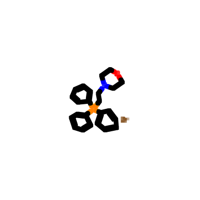 [Br-].c1ccc([P+](CCN2CCOCC2)(c2ccccc2)c2ccccc2)cc1